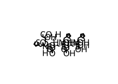 O=C(O)C[C@@H](O)CC[C@H](NC(=O)Cc1cccs1)B1OC(=O)C[C@H](CC[C@H](NC(O)Cc2cccs2)B2OC(O)C[C@H](CC[C@H](NC(O)Cc3cccs3)B(O)O)O2)O1